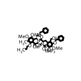 C=CCOc1c(C)c(OC)c(OC)c2c1C(O)CN(C(=O)C(Cc1cc(C)c(OC)c(OCc3ccccc3)c1CO)N(C)C(=O)OC(C)(C)C)[C@H]2COCc1ccccc1